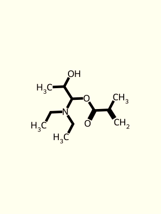 C=C(C)C(=O)OC(C(C)O)N(CC)CC